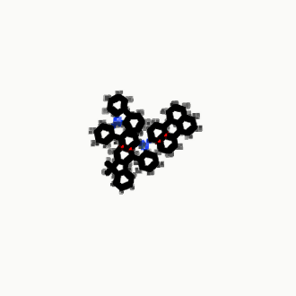 CC1(C)c2ccccc2-c2c(-c3ccccc3N(c3ccc(-c4ccccc4-n4c5ccccc5c5ccccc54)cc3)c3ccc(-c4cccc5cccc(-c6ccccc6)c45)cc3)cccc21